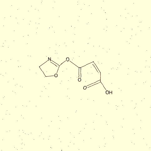 O=C(O)/C=C\C(=O)OC1=NCCO1